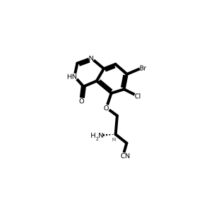 N#CC[C@H](N)COc1c(Cl)c(Br)cc2nc[nH]c(=O)c12